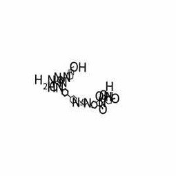 NC(=O)c1ncc(N2CCC[C@@H](CO)C2)nc1Nc1ccc(C2CCN(C[C@@H]3CCN(c4ccc5c(c4)C(O)N(C4CCC(=O)NC4=O)C5=O)C3)CC2)cc1